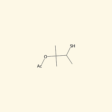 CC(=O)OC(C)(C)C(C)S